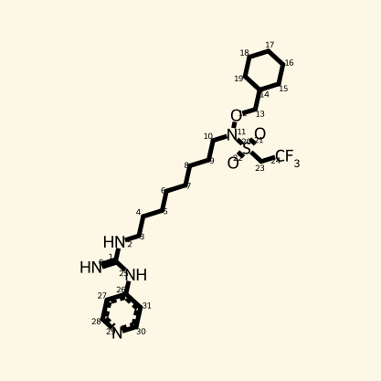 N=C(NCCCCCCCCN(OCC1CCCCC1)S(=O)(=O)CC(F)(F)F)Nc1ccncc1